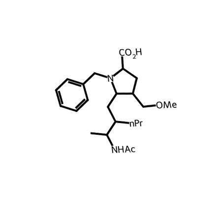 CCCC(CC1C(COC)CC(C(=O)O)N1Cc1ccccc1)C(C)NC(C)=O